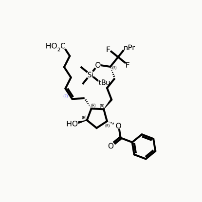 CCCC(F)(F)[C@H](CCC[C@@H]1[C@@H](C/C=C\CCCC(=O)O)[C@H](O)C[C@H]1OC(=O)c1ccccc1)O[Si](C)(C)C(C)(C)C